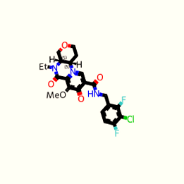 CCN1C(=O)c2c(OC)c(=O)c(C(=O)NCc3ccc(F)c(Cl)c3F)cn2[C@H]2CCOC[C@H]21